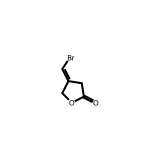 O=C1CC(=CBr)CO1